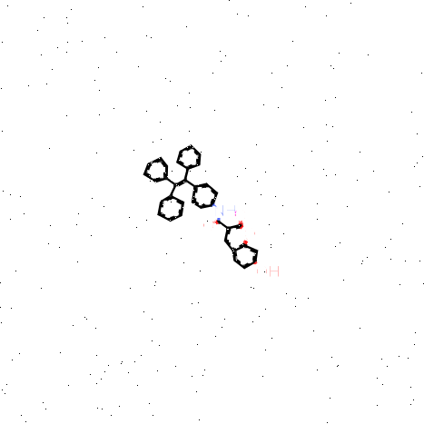 O=C(Nc1ccc(C(=C(c2ccccc2)c2ccccc2)c2ccccc2)cc1)c1cc2ccc(O)cc2oc1=O